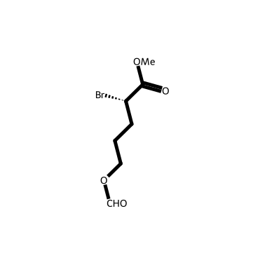 COC(=O)[C@@H](Br)CCCOC=O